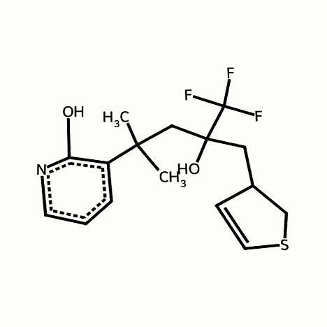 CC(C)(CC(O)(CC1C=CSC1)C(F)(F)F)c1cccnc1O